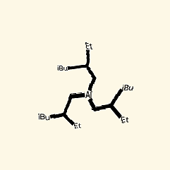 CCC(C)C(CC)[CH2][Al]([CH2]C(CC)C(C)CC)[CH2]C(CC)C(C)CC